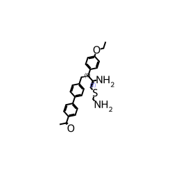 CCOc1ccc([C@H](Cc2ccc(-c3ccc(C(C)=O)cc3)cc2)/C(N)=C/SCN)cc1